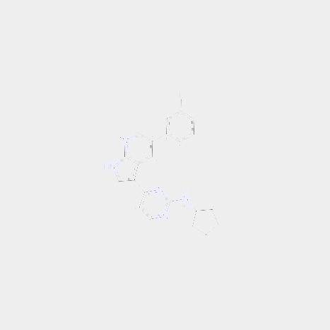 Fc1cccc(-c2cnc3[nH]cc(-c4ccnc(NC5CCCC5)n4)c3c2)c1